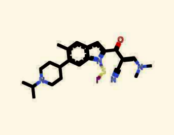 Cc1cc2cc(C(=O)/C(C#N)=C/N(C)C)n(SI)c2cc1C1CCN(C(C)C)CC1